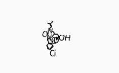 CC(C)=CCN1CC(CC(=O)O)CN(Cc2ccc(Cl)cc2Cl)C1=O